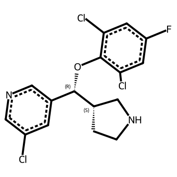 Fc1cc(Cl)c(O[C@@H](c2cncc(Cl)c2)[C@H]2CCNC2)c(Cl)c1